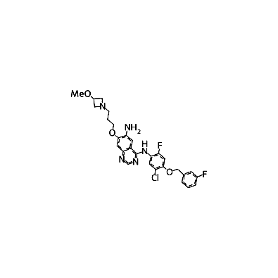 COC1CN(CCCOc2cc3ncnc(Nc4cc(Cl)c(OCc5cccc(F)c5)cc4F)c3cc2N)C1